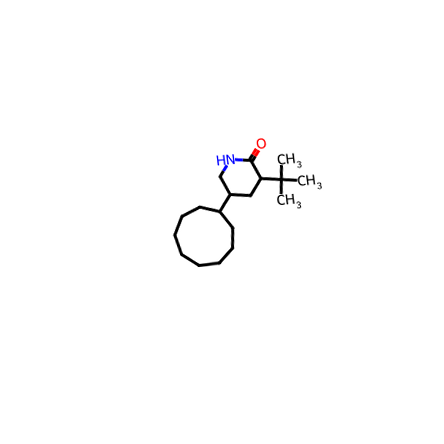 CC(C)(C)C1CC(C2CCCCCCCC2)CNC1=O